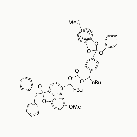 CCCCC(OC(=O)OC(CCCC)c1ccc(C(Oc2ccccc2)(Oc2ccccc2)Oc2ccc(OC)cc2)cc1)c1ccc(C(Oc2ccccc2)(Oc2ccccc2)Oc2ccc(OC)cc2)cc1